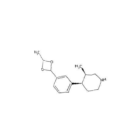 CC1OC(c2cccc([C@@H]3CCNC[C@@H]3C)c2)O1